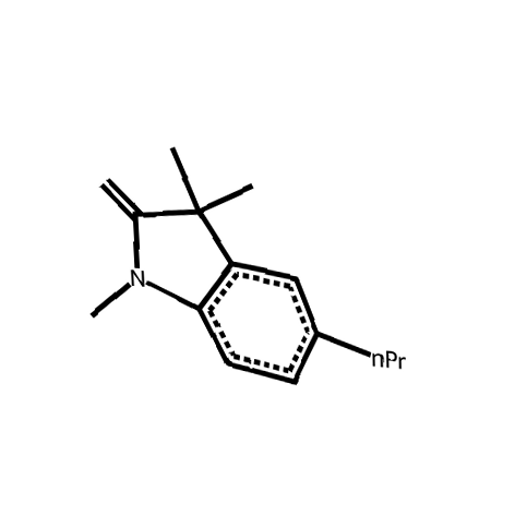 C=C1N(C)c2ccc(CCC)cc2C1(C)C